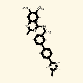 COc1cc2nc(C)nc(N[C@H](C)c3cccc(-c4ccc(-c5nnc(C)o5)cc4)c3)c2cc1OC